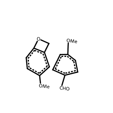 COc1ccc(C=O)cc1.COc1ccc2c(c1)CO2